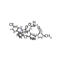 Cc1ccc2c(c1)OCCNC(=O)CC(NC(=O)/C=C/c1cc(Cl)ccc1-n1cnnn1)c1cc-2nnc1Cl